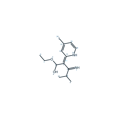 CCOC(O)/C(C(=N)C(C)C)=C1\C=C(I)C=CN1